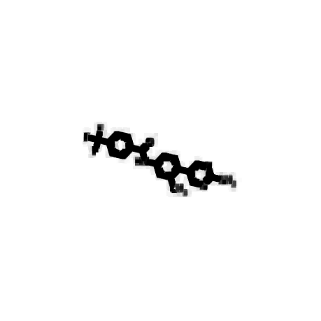 Cc1cc(NC(=O)c2ccc(C(F)(F)F)cc2)ccc1-c1cnc(N)nc1